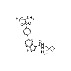 CC(C)S(=O)(=O)c1ccc(-c2cnc3[nH]cc(C(=O)NCC4(C)CCC4)c3n2)cc1